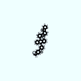 c1ccc2c(c1)oc1c2ccc2oc3c(-c4c5ccccc5c(-c5ccc6sc7cc8ccoc8cc7c6c5)c5ccccc45)cccc3c21